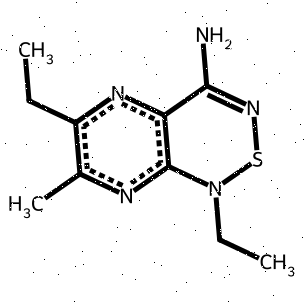 CCc1nc2c(nc1C)N(CC)SN=C2N